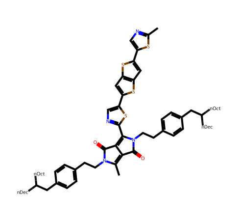 CCCCCCCCCCC(CCCCCCCC)Cc1ccc(CCN2C(=O)C3=C(c4ncc(-c5cc6sc(-c7cnc(C)s7)cc6s5)s4)N(CCc4ccc(CC(CCCCCCCC)CCCCCCCCCC)cc4)C(=O)C3=C2C)cc1